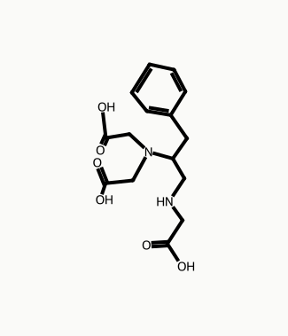 O=C(O)CNCC(Cc1ccccc1)N(CC(=O)O)CC(=O)O